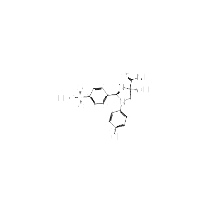 CS(=O)(=O)c1ccc(C2=NC(O)(C(N)=O)CN2c2ccc(Cl)cc2)cc1